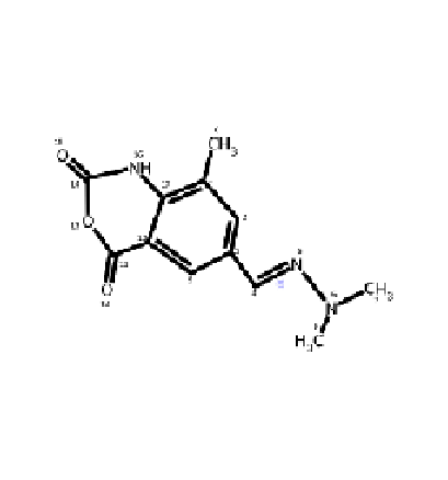 Cc1cc(/C=N/N(C)C)cc2c(=O)oc(=O)[nH]c12